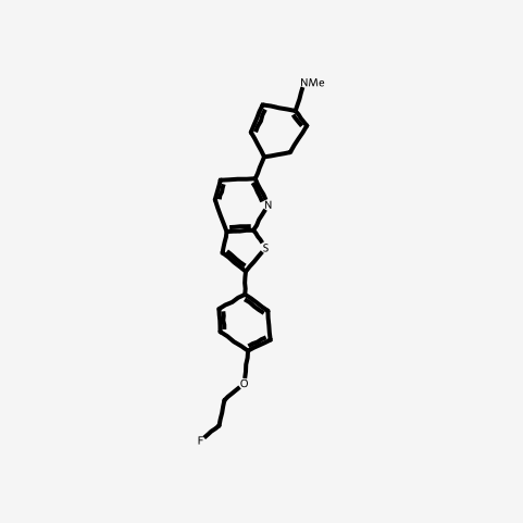 CNC1=CCC(c2ccc3cc(-c4ccc(OCCF)cc4)sc3n2)C=C1